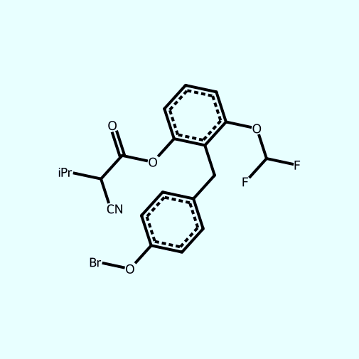 CC(C)C(C#N)C(=O)Oc1cccc(OC(F)F)c1Cc1ccc(OBr)cc1